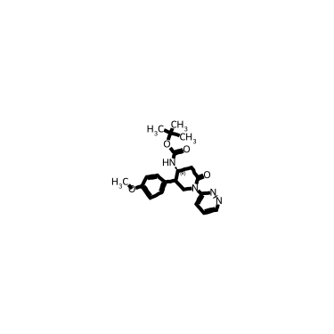 COc1ccc(C2CN(c3cccnn3)C(=O)C[C@H]2NC(=O)OC(C)(C)C)cc1